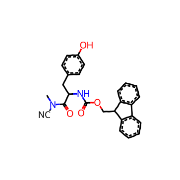 CN(C#N)C(=O)C(Cc1ccc(O)cc1)NC(=O)OCC1c2ccccc2-c2ccccc21